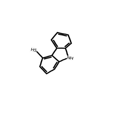 Sc1cccc2[nH]c3ccccc3c12